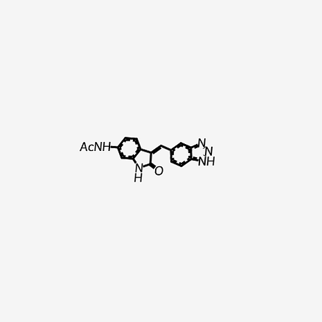 CC(=O)Nc1ccc2c(c1)NC(=O)C2=Cc1ccc2[nH]nnc2c1